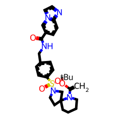 C=C(OC(C)(C)C)N1CCCCC12CCN(S(=O)(=O)c1ccc(CNC(=O)c3ccc4nccn4c3)cc1)C2